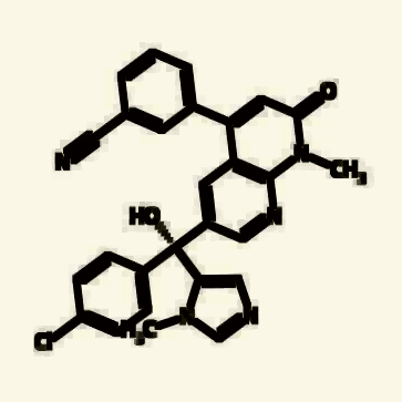 Cn1cncc1[C@@](O)(c1ccc(Cl)cc1)c1cnc2c(c1)c(-c1cccc(C#N)c1)cc(=O)n2C